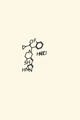 Cl.Cl.O=C(C1CC1)C(c1ccccc1F)N1CCC(S)/C(=C\c2cn[nH]c2)C1